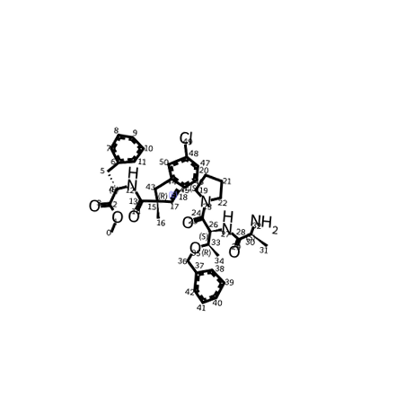 COC(=O)[C@H](Cc1ccccc1)NC(=O)[C@@](C)(/C=C/[C@@H]1CCCN1C(=O)[C@@H](NC(=O)[C@H](C)N)[C@@H](C)OCc1ccccc1)Cc1cccc(Cl)c1